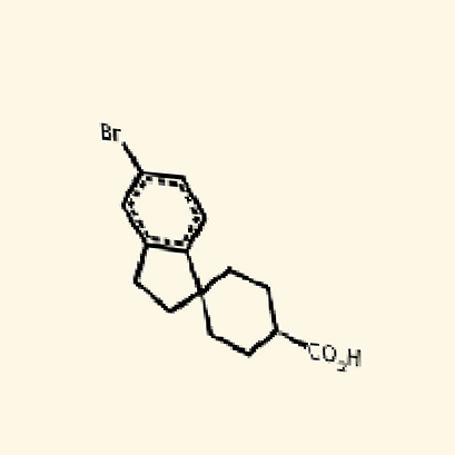 O=C(O)[C@H]1CC[C@]2(CCc3cc(Br)ccc32)CC1